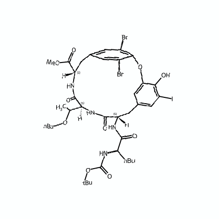 CCCCOC(C)[C@@H]1NC(=O)[C@@H](NC(=O)C(CCCC)NC(=O)OC(C)(C)C)Cc2cc(I)c(O)c(c2)Oc2c(Br)cc(cc2Br)C[C@@H](C(=O)OC)NC1=O